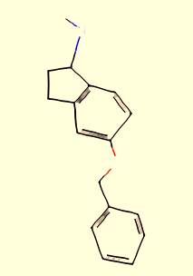 CCNC1CCc2cc(OCc3ccccc3)ccc21